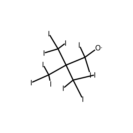 [O]C(I)(I)C(C(I)(I)I)(C(I)(I)I)C(I)(I)I